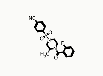 C[C@H]1CN(S(=O)(=O)c2ccc(C#N)cc2)CCN1C(=O)c1ccccc1F